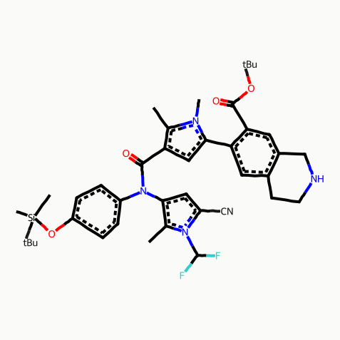 Cc1c(C(=O)N(c2ccc(O[Si](C)(C)C(C)(C)C)cc2)c2cc(C#N)n(C(F)F)c2C)cc(-c2cc3c(cc2C(=O)OC(C)(C)C)CNCC3)n1C